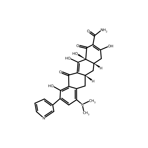 CN(C)c1cc(-c2cccnc2)c(O)c2c1C[C@H]1C[C@H]3CC(O)=C(C(N)=O)C(=O)[C@@]3(O)C(O)=C1C2=O